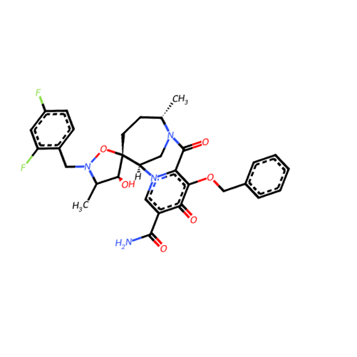 CC1[C@H](O)[C@]2(CC[C@H](C)N3C[C@H]2n2cc(C(N)=O)c(=O)c(OCc4ccccc4)c2C3=O)ON1Cc1ccc(F)cc1F